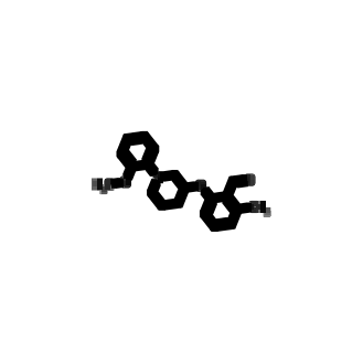 COc1ccccc1N1CCCC(Oc2cccc(C)c2C=O)C1